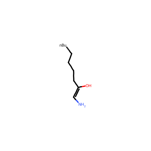 CCCCCCCCC(O)=CN